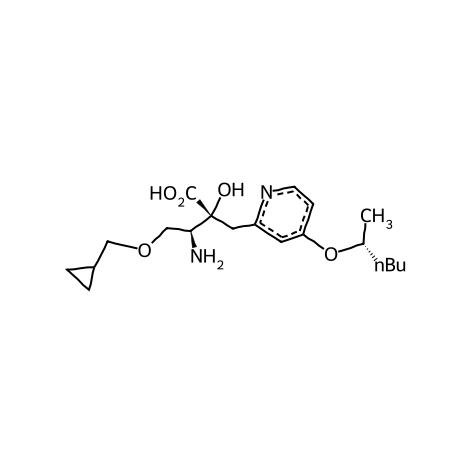 CCCC[C@@H](C)Oc1ccnc(C[C@](O)(C(=O)O)[C@@H](N)COCC2CC2)c1